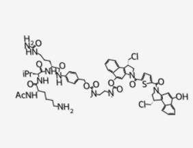 CC(=O)N[C@@H](CCCCN)C(=O)N[C@H](C(=O)N[C@@H](CCCNC(N)=O)C(=O)Nc1ccc(COC(=O)N(C)CCN(C)C(=O)Oc2cc3c(c4ccccc24)[C@H](CCl)CN3C(=O)c2ccc(C(=O)N3C[C@@H](CCl)c4c3cc(O)c3ccccc43)s2)cc1)C(C)C